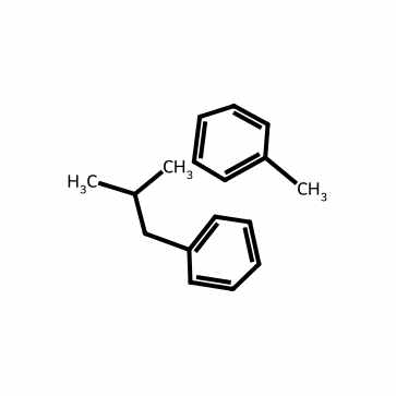 CC(C)Cc1ccccc1.Cc1ccccc1